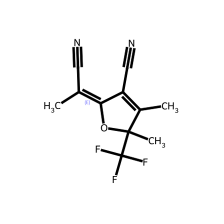 CC1=C(C#N)/C(=C(/C)C#N)OC1(C)C(F)(F)F